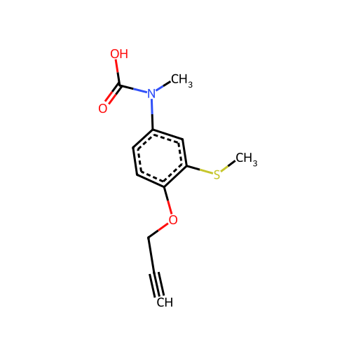 C#CCOc1ccc(N(C)C(=O)O)cc1SC